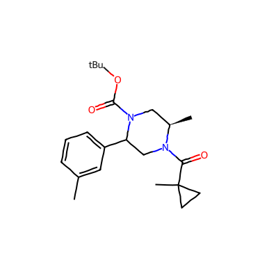 Cc1cccc(C2CN(C(=O)C3(C)CC3)[C@H](C)CN2C(=O)OC(C)(C)C)c1